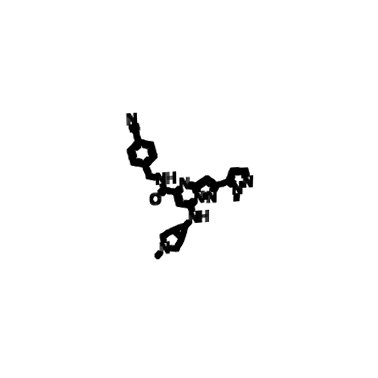 CN1CC2C(C1)C2Nc1cc(C(=O)NCc2ccc(C#N)cc2)nc2cc(-c3ccnn3C)nn12